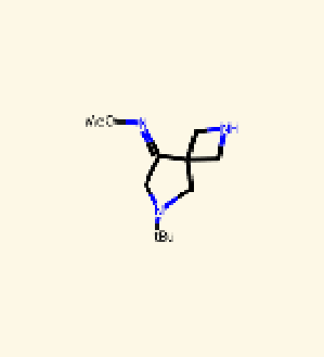 CO/N=C1\CN(C(C)(C)C)CC12CNC2